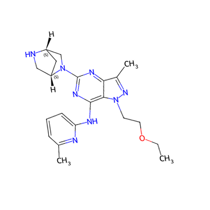 CCOCCn1nc(C)c2nc(N3C[C@@H]4C[C@H]3CN4)nc(Nc3cccc(C)n3)c21